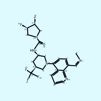 C/N=C\c1ccc(N2C[C@H](NC(=O)N3C[C@@H](F)[C@@H](F)C3)C[C@H](C(F)(F)F)C2)c2cccnc12